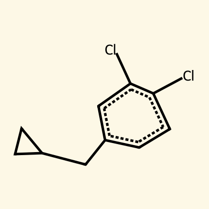 Clc1ccc(CC2CC2)cc1Cl